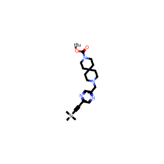 CC(C)(C)OC(=O)N1CCC2(CCN(Cc3cnc(C#C[Si](C)(C)C)cn3)CC2)CC1